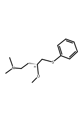 CO[C@H](CCN(C)C)CSc1ccccc1